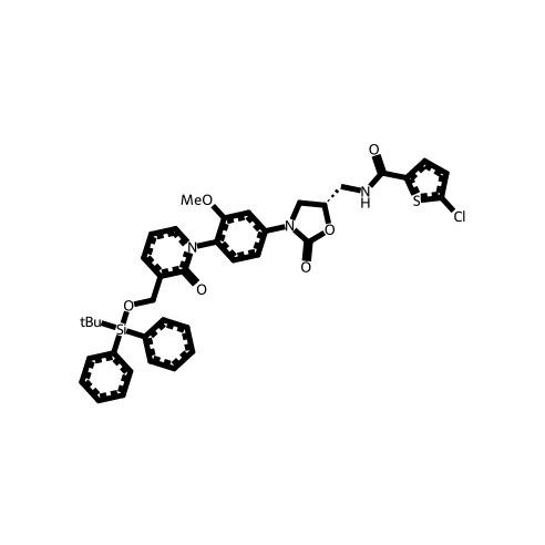 COc1cc(N2C[C@H](CNC(=O)c3ccc(Cl)s3)OC2=O)ccc1-n1cccc(CO[Si](c2ccccc2)(c2ccccc2)C(C)(C)C)c1=O